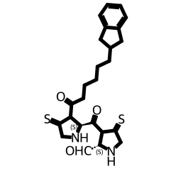 O=C[C@H]1NCC(=S)C1C(=O)[C@H]1NCC(=S)C1C(=O)CCCCCC1Cc2ccccc2C1